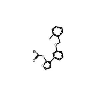 CCC(=O)Oc1occc1-c1cccc(OCc2ccccc2C)c1